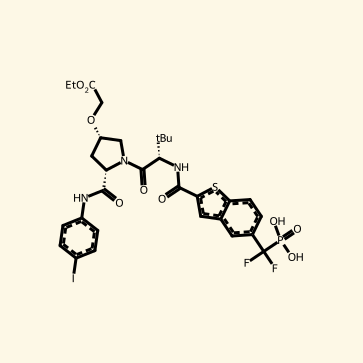 CCOC(=O)CO[C@H]1C[C@@H](C(=O)Nc2ccc(I)cc2)N(C(=O)[C@@H](NC(=O)c2cc3cc(C(F)(F)P(=O)(O)O)ccc3s2)C(C)(C)C)C1